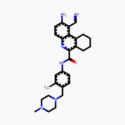 CN1CCN(Cc2ccc(NC(=O)c3nc4ccc(N)c(C=N)c4c4c3CCCC4)cc2C(F)(F)F)CC1